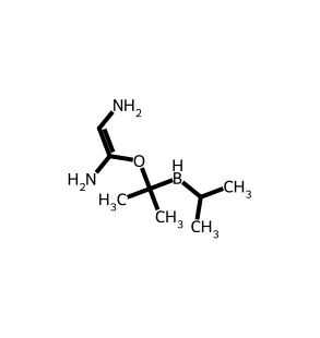 CC(C)BC(C)(C)O/C(N)=C\N